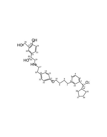 [O-][S+](c1cccc(CCCCOc2ccc(CCNC[C@H](O)c3ccc(O)c(CO)c3)cc2)c1)C1CCCC1